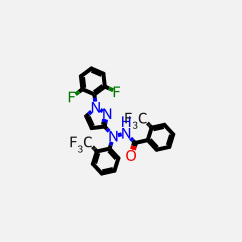 O=C(NN(c1ccn(-c2c(F)cccc2F)n1)c1ccccc1C(F)(F)F)c1ccccc1C(F)(F)F